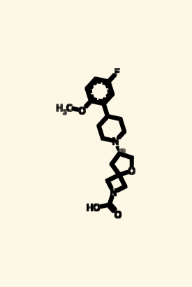 COc1ccc(F)cc1C1CCN([C@@H]2COC3(C2)CN(C(=O)O)C3)CC1